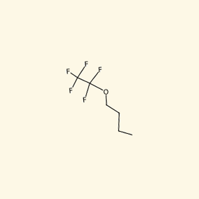 CCCCOC(F)(F)C(F)(F)F